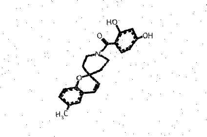 Cc1ccc2c(c1)C=CC1(CCN(C(=O)c3ccc(O)cc3O)CC1)O2